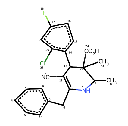 CC1NC(Cc2ccccc2)=C(C#N)C(c2ccc(F)cc2Cl)C1(C)C(=O)O